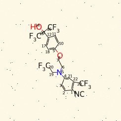 [C-]#[N+]c1ccc(N(CCOc2ccc(C(O)(C(F)(F)F)C(F)(F)F)cc2)CC(F)(F)F)cc1C(F)(F)F